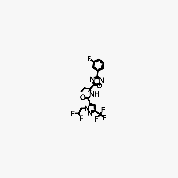 CC[C@H](NC(=O)c1cc(C(F)(F)F)nn1CC(F)F)c1nc(-c2cccc(F)c2)no1